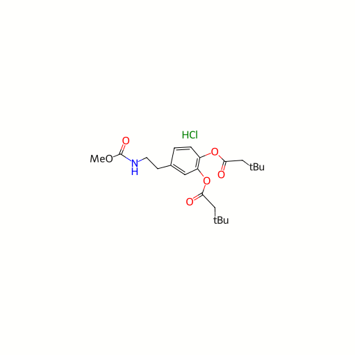 COC(=O)NCCc1ccc(OC(=O)CC(C)(C)C)c(OC(=O)CC(C)(C)C)c1.Cl